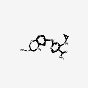 CCCOC1CNc2cc(Nc3ncc(C(N)=O)c(NC4CC4)n3)ccc2OC1